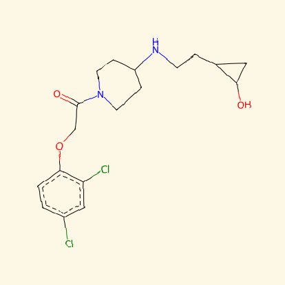 O=C(COc1ccc(Cl)cc1Cl)N1CCC(NCCC2CC2O)CC1